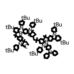 CC(C)(C)c1ccc(N2c3cc4c(cc3B3c5cc6c(cc5C(C)(C)c5cc(C(C)(C)C)cc2c53)N(c2ccc(C(C)(C)C)cc2)C2(C)CCCCC62C)C2(C)CC(CC(C)(C)c3cc5c6c(c3)C(C)(C)c3cc7c(cc3B6c3ccc(N(c6ccccc6)c6ccccc6)cc3N5c3ccc(C(C)(C)C)cc3)c3cc(C(C)(C)C)ccc3n7-c3ccc(C(C)(C)C)cc3)CCC2(C)N4c2ccc(C(C)(C)C)cc2)cc1